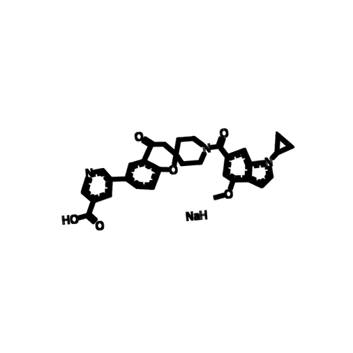 COc1cc(C(=O)N2CCC3(CC2)CC(=O)c2cc(-c4cncc(C(=O)O)c4)ccc2O3)cc2c1ccn2C1CC1.[NaH]